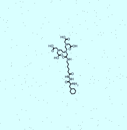 NC(CC1CCCCC1)C(=O)NNC(=O)CCCCCNC(=O)CN(CCN(CC(=O)O)CC(=O)O)CCN(CC(=O)O)CC(=O)O